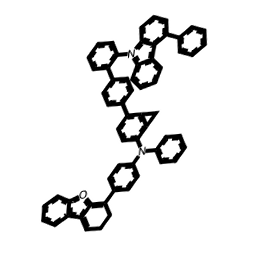 C1=c2c(oc3ccccc23)=C(c2ccc(N(c3ccccc3)c3ccc(-c4ccc(-c5ccccc5-n5c6ccccc6c6c(-c7ccccc7)cccc65)cc4)c4c3C4)cc2)CC1